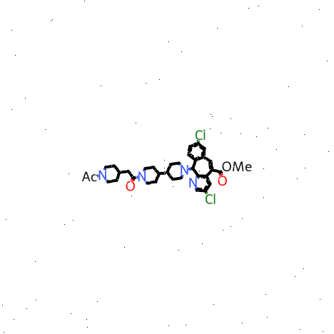 COC(=O)C1=Cc2cc(Cl)ccc2C(N2CCC(C3CCN(C(=O)CC4CCN(C(C)=O)CC4)CC3)CC2)c2ncc(Cl)cc21